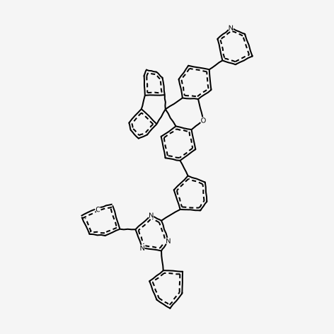 c1ccc(-c2nc(-c3ccccc3)nc(-c3cccc(-c4ccc5c(c4)Oc4cc(-c6cccnc6)ccc4C54c5ccccc5-c5ccccc54)c3)n2)cc1